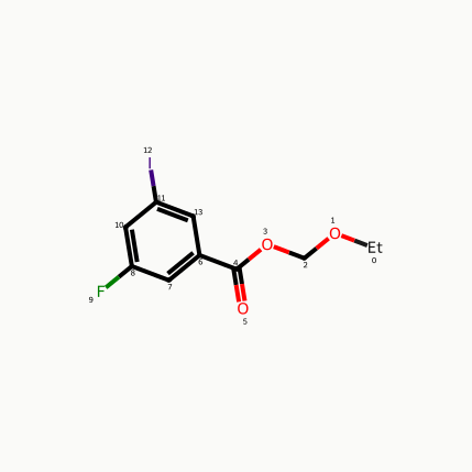 CCOCOC(=O)c1cc(F)cc(I)c1